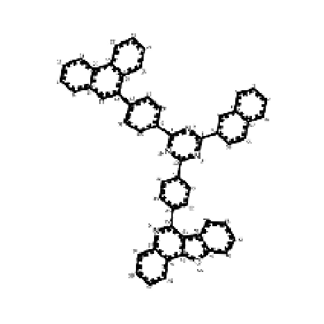 c1ccc2cc(-c3nc(-c4ccc(-c5cc6ccccc6c6ccccc56)cc4)nc(-c4ccc(-c5nc6ccccc6c6oc7ccccc7c56)cc4)n3)ccc2c1